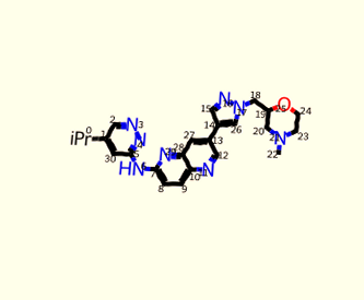 CC(C)c1cnnc(Nc2ccc3ncc(-c4cnn(CC5CN(C)CCO5)c4)cc3n2)c1